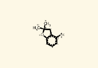 CC(=O)c1cccc2c1CC(C)(C)O2